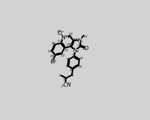 CC(C#N)Cc1ccc(-n2c(=O)n(C)c3c[n+]([O-])c4ccc(Br)cc4c32)cc1